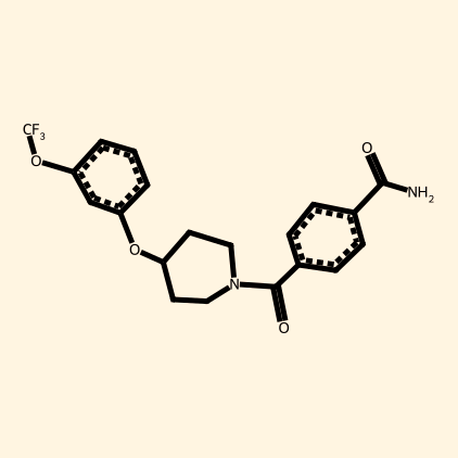 NC(=O)c1ccc(C(=O)N2CCC(Oc3cccc(OC(F)(F)F)c3)CC2)cc1